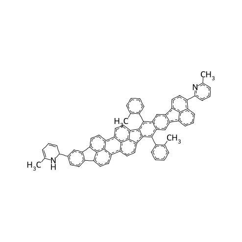 CC1=CC=CC(c2ccc3c(c2)-c2ccc4c5ccc6c7c(-c8ccccc8C)c8cc9c(cc8c(-c8ccccc8C)c7c7ccc(c8ccc-3c2c84)c5c76)c2cccc3c(-c4cccc(C)n4)ccc9c32)N1